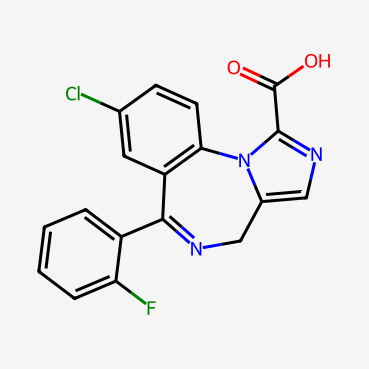 O=C(O)c1ncc2n1-c1ccc(Cl)cc1C(c1ccccc1F)=NC2